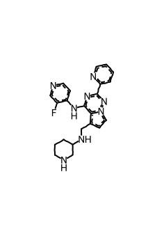 Fc1cnccc1Nc1nc(-c2ccccn2)nn2ccc(CNC3CCCNC3)c12